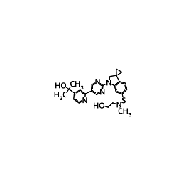 CN(CCO)Sc1ccc2c(c1)N(c1ncc(-c3cc(C(C)(C)O)ccn3)cn1)CC21CC1